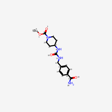 CC(C)(C)OC(=O)N1CCC(NC(=O)NCc2ccc(C(N)=O)cc2)CC1